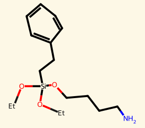 CCO[Si](CCc1ccccc1)(OCC)OCCCCN